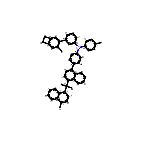 Cc1ccc(N(c2ccc(-c3ccc(C(C)(C)c4ccc(C)c5ccccc45)c4ccccc34)cc2)c2cccc(-c3cc4c(cc3C)CC4)c2)cc1